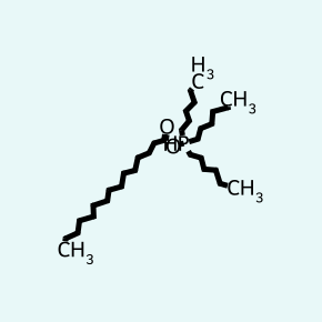 CCCCCCCCCCCCCCC(=O)O[PH](CCCCCC)(CCCCCC)CCCCCC